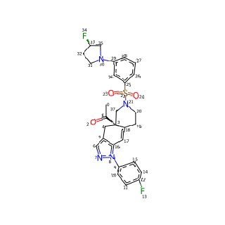 CC(=O)[C@]12Cc3cnn(-c4ccc(F)cc4)c3C=C1CCN(S(=O)(=O)c1cccc(N3CC[C@@H](F)C3)c1)C2